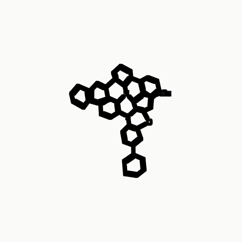 CC(C)(C)c1cc2c3c(c1)N(c1c(-c4ccccc4)cccc1-c1ccccc1)c1cc(-c4ccccc4)ccc1B3c1ccc(-c3ccccc3)cc1O2